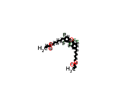 C=CC(=O)OCCCCCCc1cc(F)c(C(F)(F)Oc2cc(F)c(CCCCCCOC(=O)C=C)c(F)c2)c(F)c1